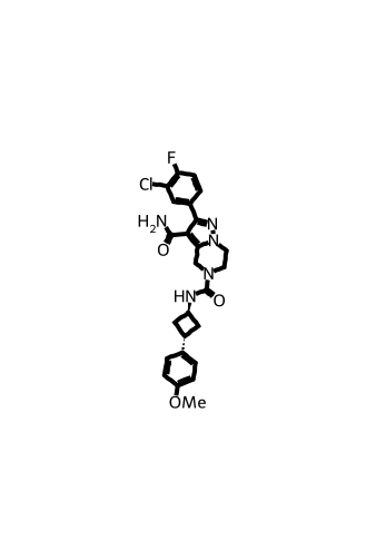 COc1ccc([C@H]2C[C@H](NC(=O)N3CCn4nc(-c5ccc(F)c(Cl)c5)c(C(N)=O)c4C3)C2)cc1